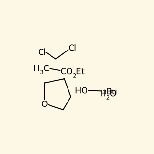 C1CCOC1.CCCCO.CCOC(C)=O.ClCCl.O